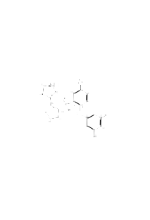 O=[N+]([O-])c1ccc(Oc2cc(Cl)cc(Cl)c2)c(S(=O)(=O)[C@@H]2CCCN2C2CCNC2)c1